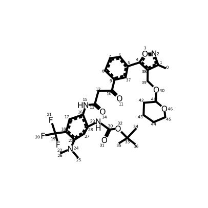 Cc1noc(-c2cccc(C(=O)CC(=O)Nc3cc(C(F)(F)F)c(N(C)C)cc3NC(=O)OC(C)(C)C)c2)c1COC1CCCCO1